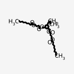 CCCCCCCCCC(=O)OCCCC(=O)OCc1cc(COC(=O)CCCOC(=O)CCCCCCCCC)cc(CN(C)C)c1